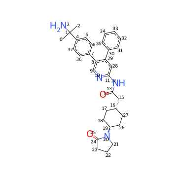 CC(C)(N)c1ccc(-c2cnc(NC(=O)C[C@H]3CC[C@H](N4CCCC4=O)CC3)cc2-c2ccccc2)cc1